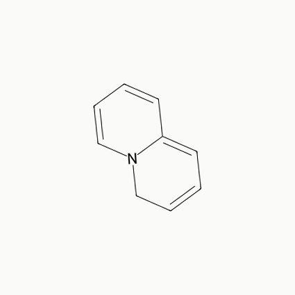 C1=CCN2C=CC=CC2=C1